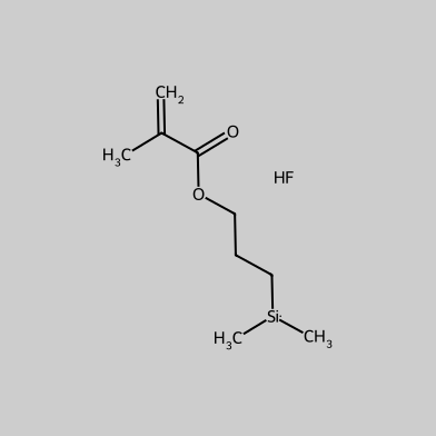 C=C(C)C(=O)OCCC[Si](C)C.F